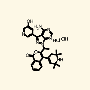 CC(c1oc(=O)c2ccccc2c1C1=CC(C)(C)NC(C)(C)C1)n1nc(-c2cncc(O)c2)c2c(N)ncnc21.Cl.Cl